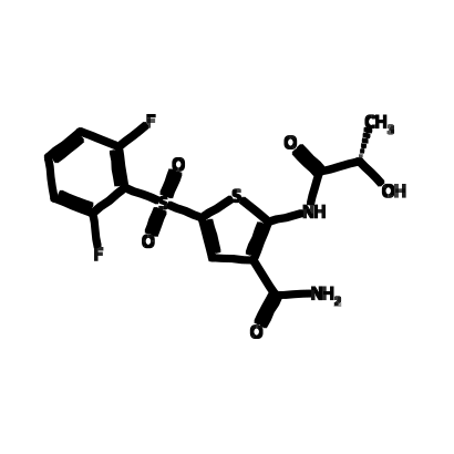 C[C@H](O)C(=O)Nc1sc(S(=O)(=O)c2c(F)cccc2F)cc1C(N)=O